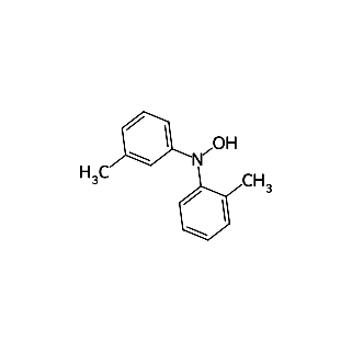 Cc1cccc(N(O)c2ccccc2C)c1